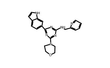 c1ccc(CNc2nc(-c3ccc4cc[nH]c4c3)nc(N3CCOCC3)n2)nc1